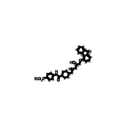 CCOC(=O)c1ccc(NC(=O)N2CCC(CNC[C@H](O)COc3cccc4[nH]c5ccccc5c34)CC2)cc1